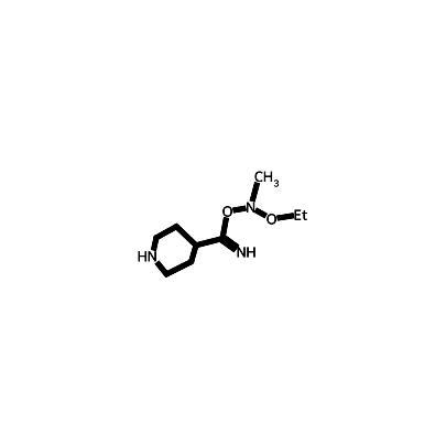 CCON(C)OC(=N)C1CCNCC1